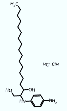 CCCCCCCCCCCCCCCC(O)C(CO)Nc1ccc(N)cc1.Cl.Cl